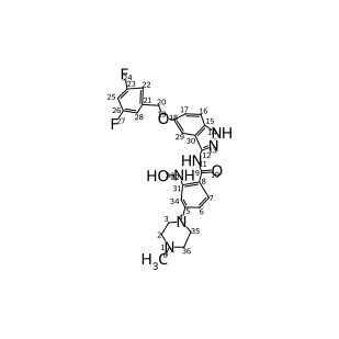 CN1CCN(c2ccc(C(=O)Nc3n[nH]c4ccc(OCc5cc(F)cc(F)c5)cc34)c(NO)c2)CC1